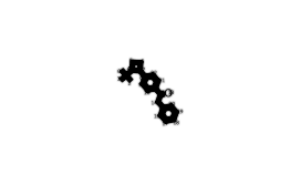 CC(C)(C)C1CC[C]1c1ccc(C(=O)Cc2ccccc2)cc1